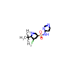 CC(C)(C)c1ncc(S(=O)(=O)Nc2ccncn2)cc1F